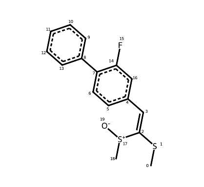 CSC(=Cc1ccc(-c2ccccc2)c(F)c1)[S+](C)[O-]